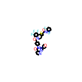 O=C(Nc1c(F)cccc1F)c1cc2c(s1)-c1c(cc(F)c(F)c1F)N(C(=O)c1ccc(NC(=O)c3cccnc3N3CC4(CCOCC4)C3)cc1)CC2